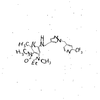 CC[C@H]1C(=O)N(C)c2c(cc(NCc3cnn(Cc4ccnc(C(F)(F)F)c4)c3)nc2C)N1C